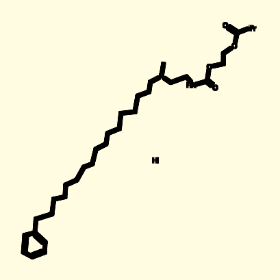 CC(C)C(=O)OCCOC(=O)NCCN(C)CCCCCCCCCCCCCCCCCc1ccccc1.I